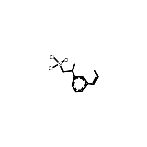 C/C=C\c1cccc(C(C)C[Si](Cl)(Cl)Cl)c1